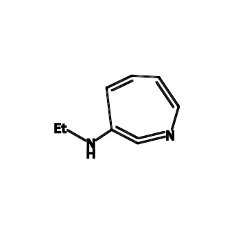 CCNC1=C=NC=CC=C1